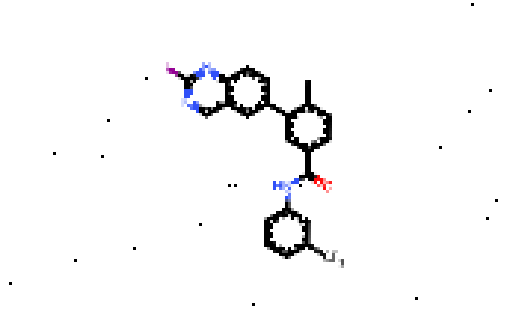 Cc1ccc(C(=O)Nc2cccc(C(F)(F)F)c2)cc1-c1ccc2nc(I)ncc2c1